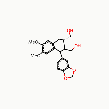 COc1cc2c(cc1OC)C(c1ccc3c(c1)OCO3)C(CO)[C@@H](CO)C2